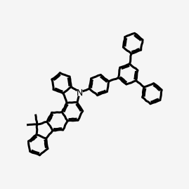 CC1(C)c2ccccc2-c2cc3ccc4c(c3cc21)c1ccccc1n4-c1ccc(-c2cc(-c3ccccc3)cc(-c3ccccc3)c2)cc1